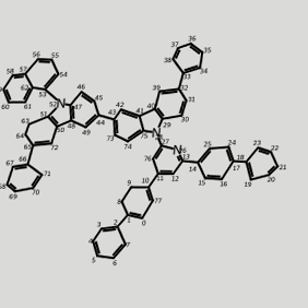 C1=C(c2ccccc2)CCC(c2cc(-c3ccc(-c4ccccc4)cc3)nc(-n3c4ccc(-c5ccccc5)cc4c4cc(-c5ccc6c(c5)c5c(n6-c6cccc7ccccc67)CCC(c6ccccc6)=C5)ccc43)c2)=C1